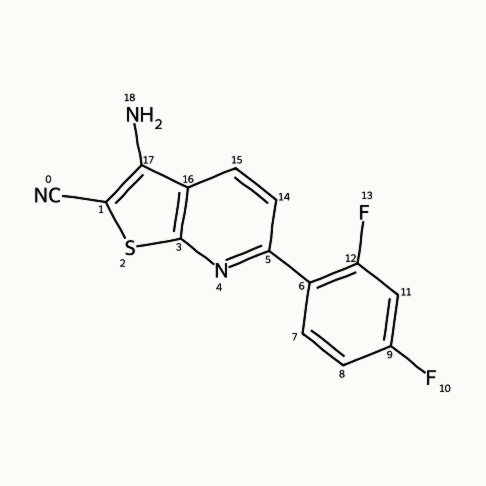 N#Cc1sc2nc(-c3ccc(F)cc3F)ccc2c1N